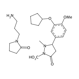 COc1ccc(C2CC(=O)N(C(=O)O)N2C)cc1OC1CCCC1.NCCCN1CCCC1=O